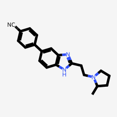 CC1CCCN1CCc1nc2cc(-c3ccc(C#N)cc3)ccc2[nH]1